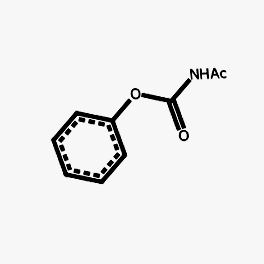 CC(=O)NC(=O)Oc1ccccc1